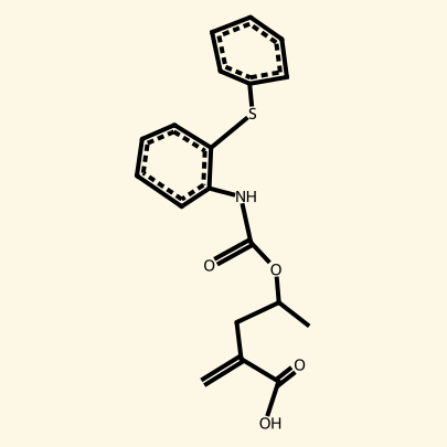 C=C(CC(C)OC(=O)Nc1ccccc1Sc1ccccc1)C(=O)O